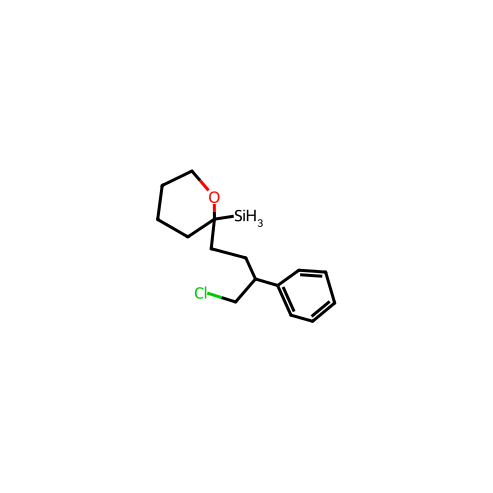 [SiH3]C1(CCC(CCl)c2ccccc2)CCCCO1